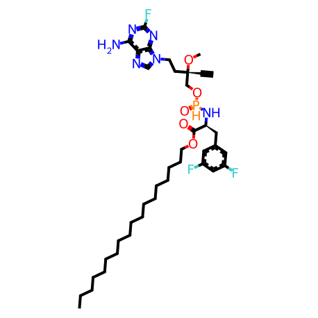 C#C[C@](CCn1cnc2c(N)nc(F)nc21)(CO[PH](=O)N[C@@H](Cc1cc(F)cc(F)c1)C(=O)OCCCCCCCCCCCCCCCCCC)OC